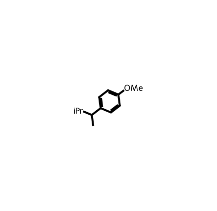 COc1ccc(C(C)C(C)C)cc1